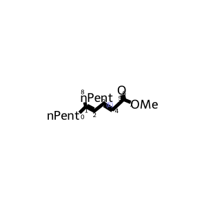 CCCCCC(=C/C=C/C(=O)OC)CCCCC